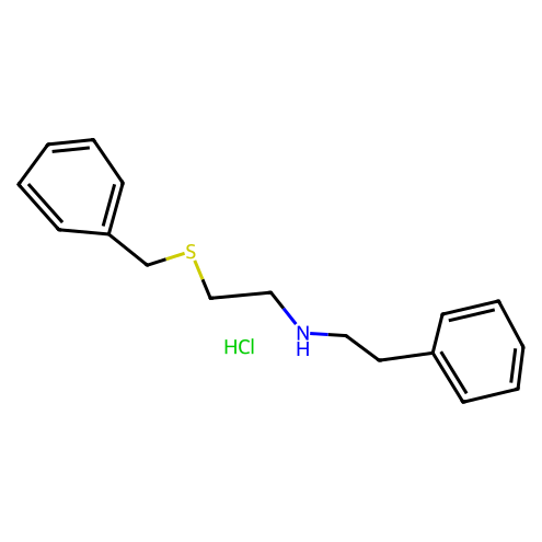 Cl.c1ccc(CCNCCSCc2ccccc2)cc1